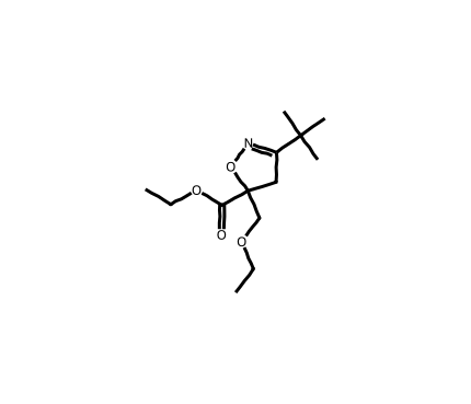 CCOCC1(C(=O)OCC)CC(C(C)(C)C)=NO1